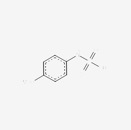 [CH2]Oc1ccc(NS(C)(=O)=O)cc1